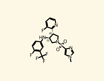 Cn1cnc(S(=O)(=O)N2C[C@@H](Nc3ccc(F)c(C(F)(F)F)c3)[C@H](c3ncccc3F)C2)c1